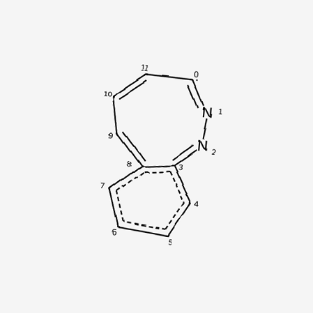 [C]1=N\N=c2\cccc\c2=C\C=C/1